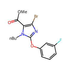 CCCCn1c(Oc2cccc(F)c2)nc(Br)c1C(=O)OC